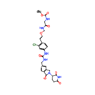 CC(C)(C)OC(=O)NCC(=O)NCOCCc1ccc(NC(=O)NCc2ccc3c(c2)CN(C2CCC(=O)NC2=O)C3=O)cc1Cl